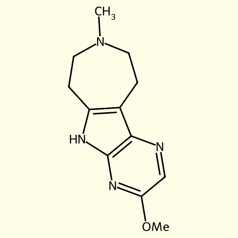 COc1cnc2c3c([nH]c2n1)CCN(C)CC3